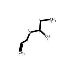 C=CCSC(O)CC